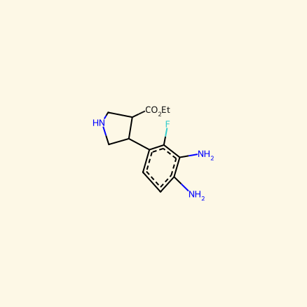 CCOC(=O)C1CNCC1c1ccc(N)c(N)c1F